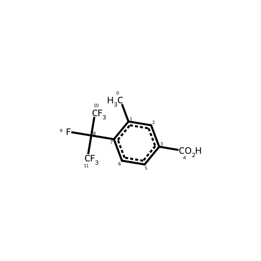 Cc1cc(C(=O)O)ccc1C(F)(C(F)(F)F)C(F)(F)F